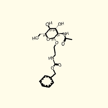 CC(=O)N[C@H]1[C@H](OCCNC(=O)OCc2ccccc2)O[C@H](CO)[C@@H](O)[C@@H]1O